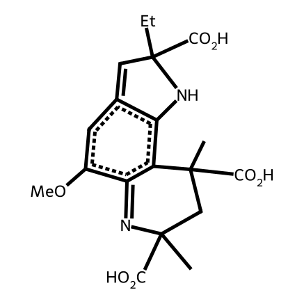 CCC1(C(=O)O)C=c2cc(OC)c3c(c2N1)C(C)(C(=O)O)CC(C)(C(=O)O)N=3